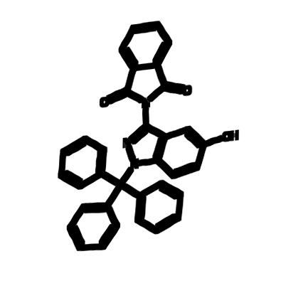 O=C1c2ccccc2C(=O)N1c1nn(C(c2ccccc2)(c2ccccc2)c2ccccc2)c2ccc(O)cc12